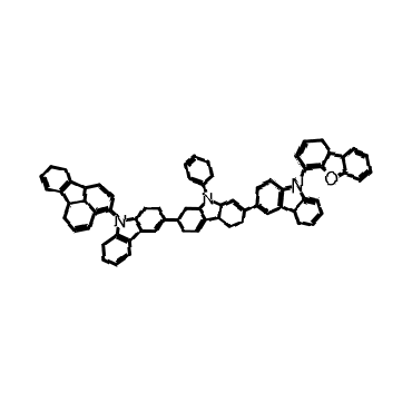 C1=CCCC(N2C3CC(C4=CC5C6=C(CCC=C6)N(C6=C7C=CCC8C9=C(CCC=C9)C(C=C6)C78)C5CC4)CC=C3C3CCC(C4=CC5=C(CC4)N(C4=C6OC7C=CC=CC7C6CC=C4)C4=CC=CCC45)=CC32)=C1